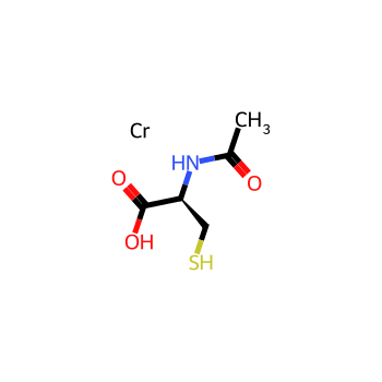 CC(=O)N[C@@H](CS)C(=O)O.[Cr]